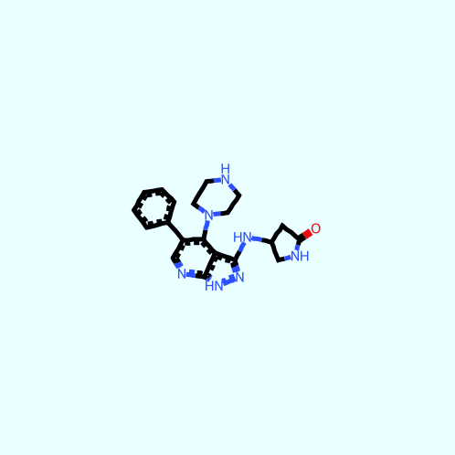 O=C1CC(Nc2n[nH]c3ncc(-c4ccccc4)c(N4CCNCC4)c23)CN1